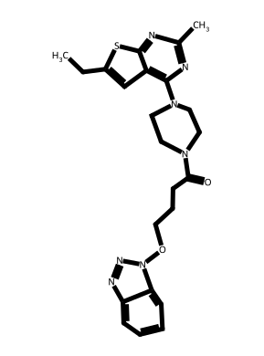 CCc1cc2c(N3CCN(C(=O)CCCOn4nnc5ccccc54)CC3)nc(C)nc2s1